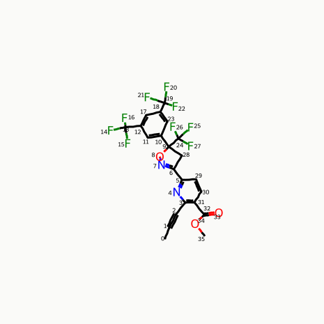 CC#Cc1nc(C2=NOC(c3cc(C(F)(F)F)cc(C(F)(F)F)c3)(C(F)(F)F)C2)ccc1C(=O)OC